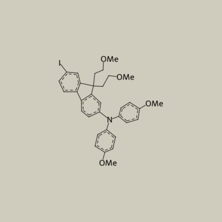 COCCC1(CCOC)c2cc(I)ccc2-c2ccc(N(c3ccc(OC)cc3)c3ccc(OC)cc3)cc21